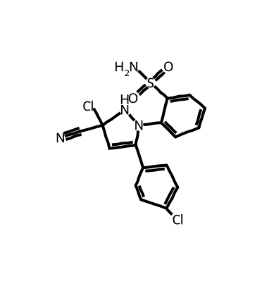 N#CC1(Cl)C=C(c2ccc(Cl)cc2)N(c2ccccc2S(N)(=O)=O)N1